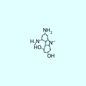 Cn1c2cc(N)cc(N)c2c2c(O)cc(O)cc21